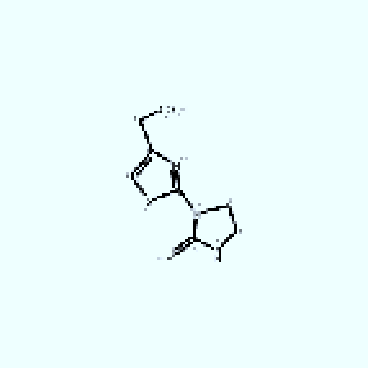 O=C(O)Cc1csc(N2CCNC2=O)n1